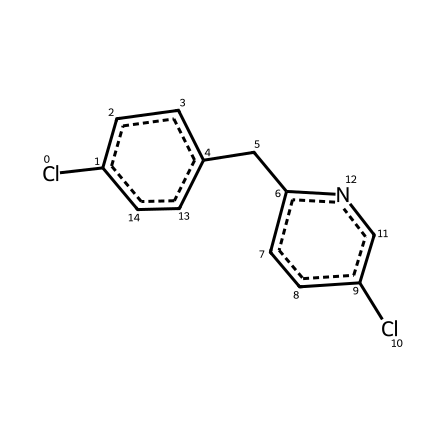 Clc1ccc(Cc2ccc(Cl)cn2)cc1